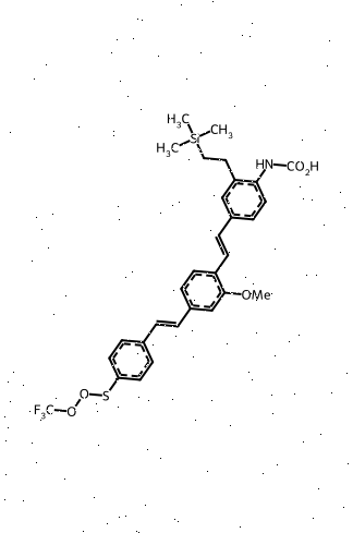 COc1cc(C=Cc2ccc(SOOC(F)(F)F)cc2)ccc1C=Cc1ccc(NC(=O)O)c(CC[Si](C)(C)C)c1